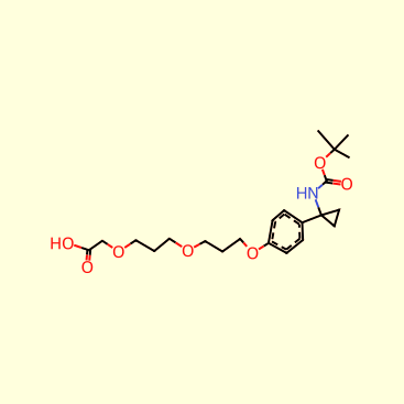 CC(C)(C)OC(=O)NC1(c2ccc(OCCCOCCCOCC(=O)O)cc2)CC1